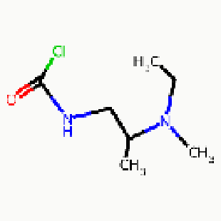 CCN(C)C(C)CNC(=O)Cl